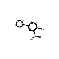 OB(O)c1cc(-c2ncon2)ccc1F